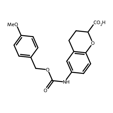 COc1ccc(COC(=O)Nc2ccc3c(c2)CCC(C(=O)O)O3)cc1